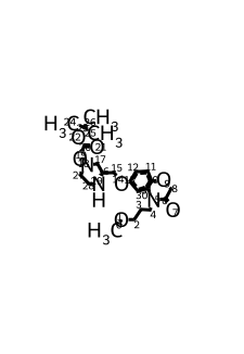 COCCCN1C(=O)COc2ccc(OCC3CN(OC(=O)OC(C)(C)C)CCN3)cc21